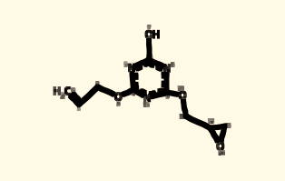 C=CCOc1nc(O)nc(OCC2CO2)n1